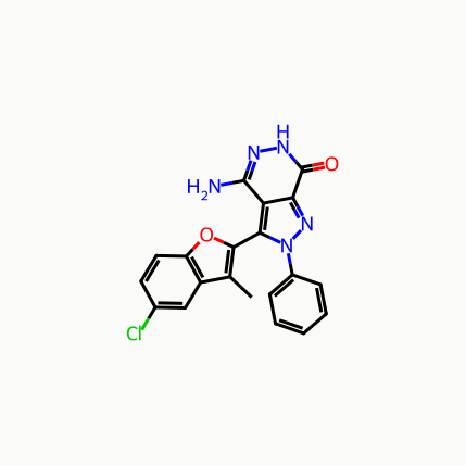 Cc1c(-c2c3c(N)n[nH]c(=O)c3nn2-c2ccccc2)oc2ccc(Cl)cc12